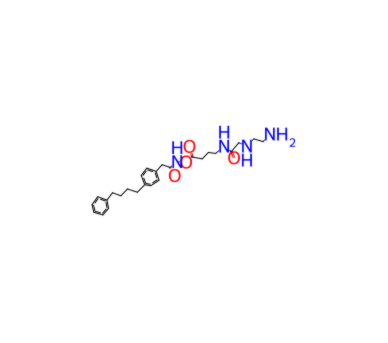 NCCNCC(=O)NCCCC(=O)ONC(=O)Cc1ccc(CCCCc2ccccc2)cc1